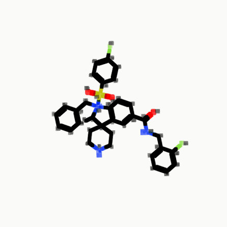 CC1C2(CCNCC2)c2cc(C(=O)NCc3ccccc3F)ccc2[N+]1(Cc1ccccc1)S(=O)(=O)c1ccc(F)cc1